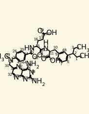 CCC(CC)c1cccc(C[C@H](NC(=O)[C@H](CCC(=O)O)NC(=O)c2ccc(N(C)Cc3cnc4nc(N)nc(N)c4n3)cc2)C(=O)O)c1